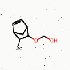 CC(=O)C1C2C=CC(C2)C1OCO